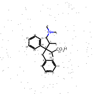 CC(CN(C)C)C(Cc1ccccc1)(c1ccccc1)C(C)C(=O)O